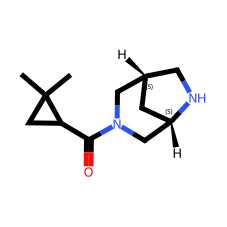 CC1(C)CC1C(=O)N1C[C@@H]2CN[C@@H](C2)C1